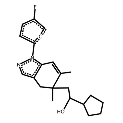 CC1=Cc2c(cnn2-c2ccc(F)cc2)CC1(C)CC(O)C1CCCC1